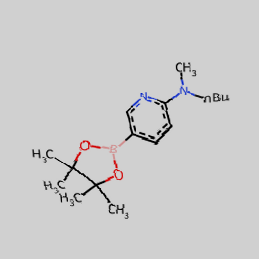 CCCCN(C)c1ccc(B2OC(C)(C)C(C)(C)O2)cn1